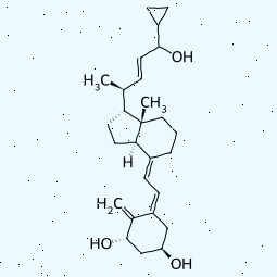 C=C1/C(=C\C=C2/CCC[C@]3(C)[C@@H]2CC[C@@H]3[C@@H](C)/C=C/C(O)C2CC2)C[C@@H](O)C[C@@H]1O